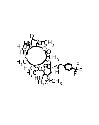 CC[C@@H]1OC(=O)C(C)C(=O)[C@H](C)[C@@H](O[C@@H]2O[C@H](CNCc3ccc(C(F)(F)F)cc3)CC(N(C)C)C2O)[C@](C)(OC)C[C@@H](C)CN[C@H](C)[C@H]2NC(=O)O[C@]12C